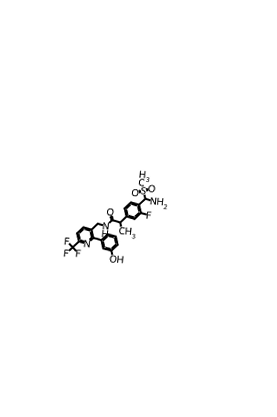 CC(C(=O)NCc1ccc(C(F)(F)F)nc1-c1cccc(O)c1)c1ccc(C(N)S(C)(=O)=O)c(F)c1